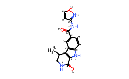 CC1CNC(=O)c2[nH]c3ccc(C(=O)Nc4ccon4)cc3c21